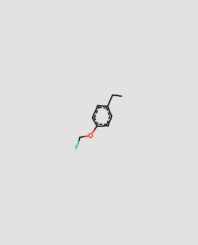 CCc1ccc(OCF)cc1